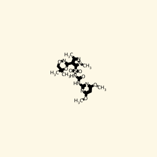 COc1cc(OC)nc(NC(=O)NS(=O)(=O)c2c(C3=NOCC(C)(C)O3)c(C)nn2C)n1